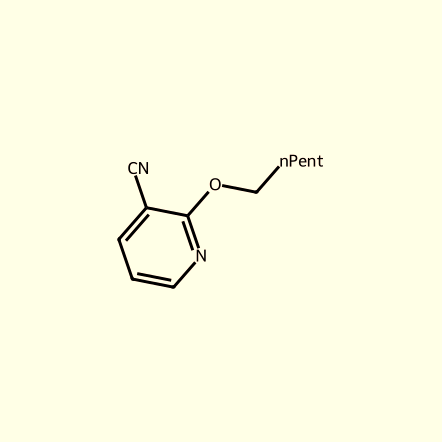 CCCCCCOc1ncccc1C#N